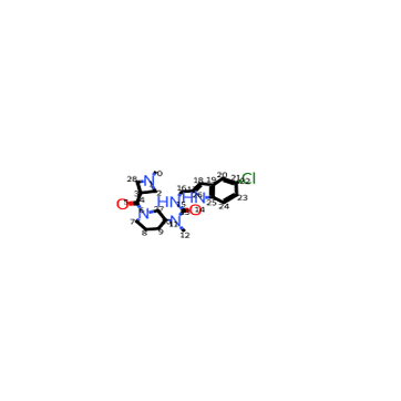 CN1CC(C(=O)N2CCC[C@@H](N(C)C(=O)NCc3cc4cc(Cl)ccc4[nH]3)C2)C1